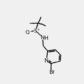 CC(C)(C)[S+]([O-])NCc1cccc(Br)n1